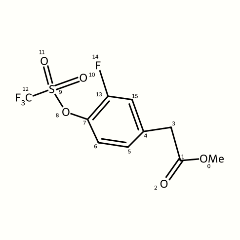 COC(=O)Cc1ccc(OS(=O)(=O)C(F)(F)F)c(F)c1